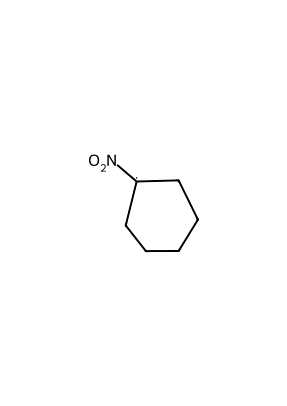 O=[N+]([O-])[C]1CCCCC1